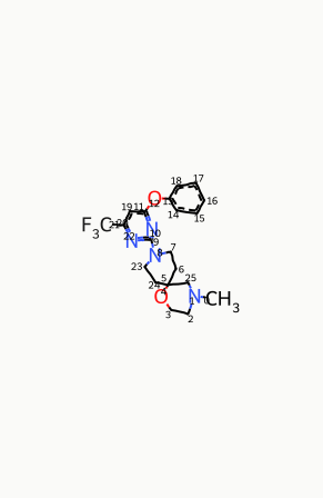 CN1CCOC2(CCN(c3nc(Oc4ccccc4)cc(C(F)(F)F)n3)CC2)C1